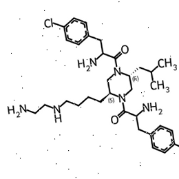 CC(C)C[C@@H]1CN(C(=O)C(N)Cc2ccc(Cl)cc2)[C@@H](CCCCNCCN)CN1C(=O)C(N)Cc1ccc(Cl)cc1